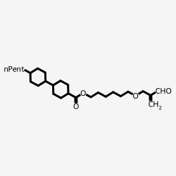 C=C(C=O)COCCCCCCOC(=O)C1CCC(C2CCC(CCCCC)CC2)CC1